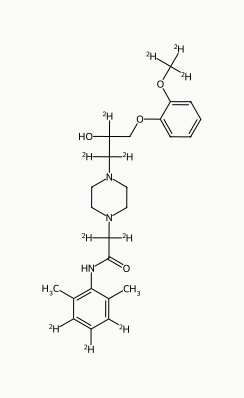 [2H]c1c([2H])c(C)c(NC(=O)C([2H])([2H])N2CCN(C([2H])([2H])C([2H])(O)COc3ccccc3OC([2H])([2H])[2H])CC2)c(C)c1[2H]